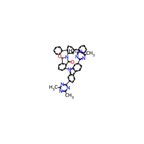 Cc1nc(C)nc(-c2ccc3c4ccc(-c5nc(C)nc(C)n5)cc4n(-c4cccc5c4C(=O)N(c4cc(-c6ccccc6)ccc4-c4ccccc4)C5=O)c3c2)n1